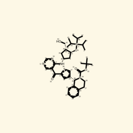 CC(C)[Si](O[C@H]1C[C@H](Nc2ncncc2C(=O)c2cc([C@H]3c4ccccc4CCN3C(=O)OC(C)(C)C)cs2)C[C@@H]1CO)(C(C)C)C(C)C